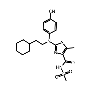 Cc1sc(N(CCC2CCCCC2)c2ccc(C#N)cc2)nc1C(=O)NS(C)(=O)=O